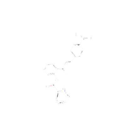 CCN(CC)c1ccc(/C=C/C(=O)c2ccccc2OC(=O)c2ccccn2)cc1